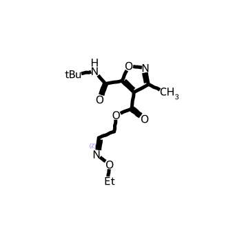 CCO/N=C\COC(=O)c1c(C)noc1C(=O)NC(C)(C)C